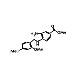 COC(=O)c1ccc(NCc2ccc(OC)cc2OC)c(N)c1